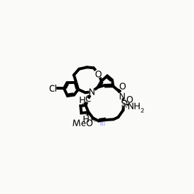 CO[C@H]1/C=C/CCC[S@@](N)(=O)=NC(=O)c2ccc3c(c2)N(Cc2ccc(Cl)cc2CCCCO3)C[C@@H]2CC[C@H]21